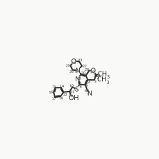 CC1(C)Cc2c(C#N)c(SCC(O)c3ccccc3)nc(N3CCOCC3)c2CO1